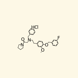 COc1cc(CCN(CC(=O)N2CCCC2)Cc2ccccc2)ccc1OCc1cccc(F)c1.Cl